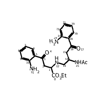 CCOC(=O)C(CC(=O)c1ccccc1N)NCC(CC(=O)c1ccccc1N)NC(C)=O